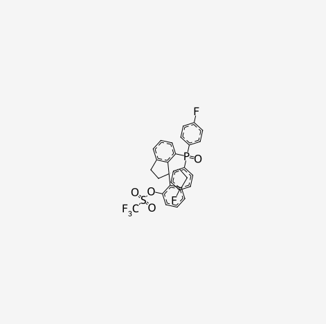 O=P(c1ccc(F)cc1)(c1ccc(F)cc1)c1cccc2c1[C@]1(CCc3cccc(OS(=O)(=O)C(F)(F)F)c31)CC2